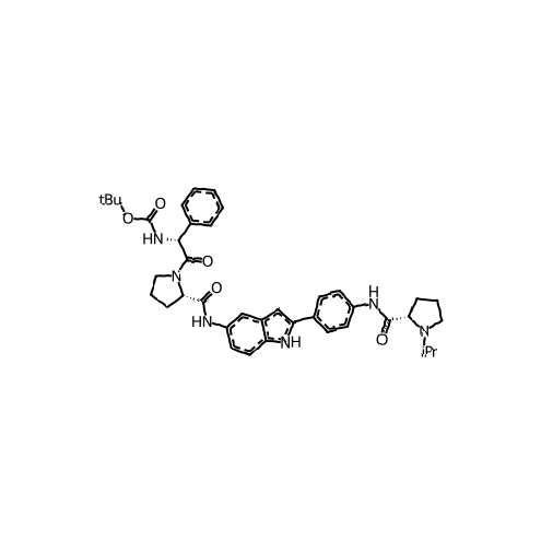 CC(C)N1CCC[C@H]1C(=O)Nc1ccc(-c2cc3cc(NC(=O)[C@@H]4CCCN4C(=O)[C@H](NC(=O)OC(C)(C)C)c4ccccc4)ccc3[nH]2)cc1